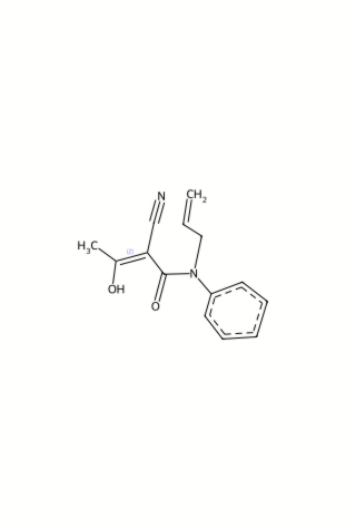 C=CCN(C(=O)/C(C#N)=C(/C)O)c1ccccc1